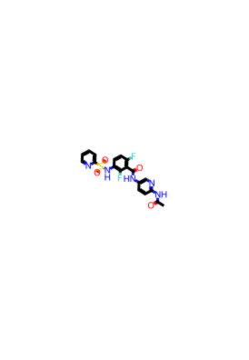 CC(=O)Nc1ccc(NC(=O)c2c(F)ccc(NS(=O)(=O)c3ccccn3)c2F)cn1